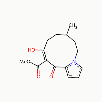 COC(=O)/C1=C(\O)CCC(C)CCn2cccc2C1=O